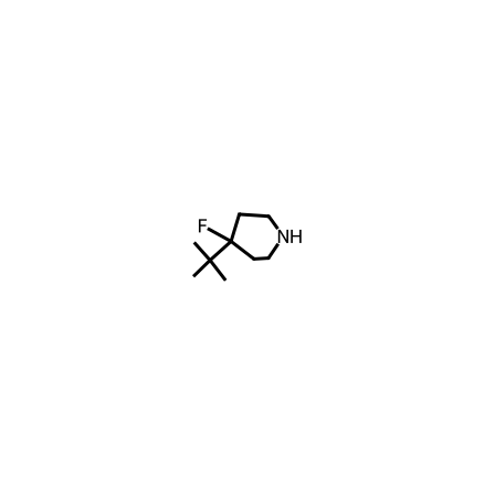 CC(C)(C)C1(F)CCNCC1